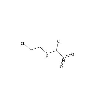 O=[SH](=O)C(Cl)NCCCl